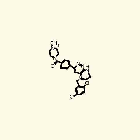 CN1CCN(C(=O)c2ccc(-c3cc4c(nn3)NCCN4Cc3cc(Cl)ccc3Cl)cc2)CC1